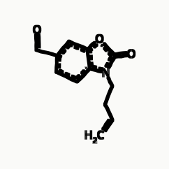 C=CCCn1c(=O)oc2cc(C=O)ccc21